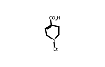 CCN1CC=C(C(=O)O)CC1